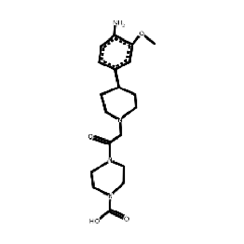 COc1cc(C2CCN(CC(=O)N3CCN(C(=O)O)CC3)CC2)ccc1N